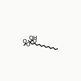 CCCCCCCCCCCCC(C)(OC(C)=O)C(=O)O